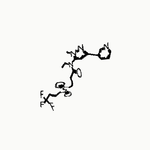 CCN(C(=O)CCS(=O)(=O)CCC(F)(F)F)c1cc(-c2cccnc2)nn1C